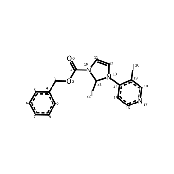 O=C(OCc1ccccc1)N1C=CN(c2ccncc2I)C1I